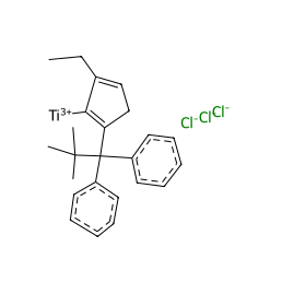 CCC1=CCC(C(c2ccccc2)(c2ccccc2)C(C)(C)C)=[C]1[Ti+3].[Cl-].[Cl-].[Cl-]